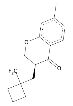 Cc1ccc2c(c1)OC[C@H](CC1(C(F)(F)F)CCC1)C2=O